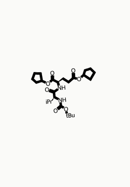 CC(C)[C@@H](NC(=O)OC(C)(C)C)C(=O)N[C@H](CCC(=O)OC1CCCC1)C(=O)OC1CCCC1